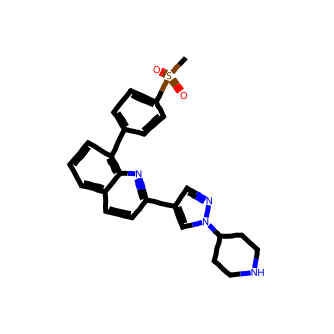 CS(=O)(=O)c1ccc(-c2cccc3ccc(-c4cnn(C5CCNCC5)c4)nc23)cc1